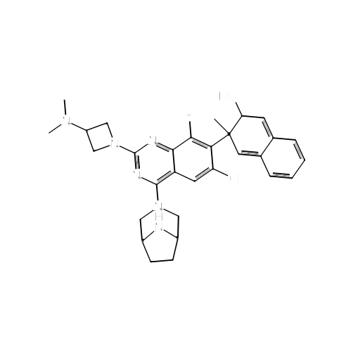 CN(C)C1CN(c2nc(N3CC4CCC(C3)N4)c3cc(Cl)c(C4(C)C=c5ccccc5=CC4O)c(F)c3n2)C1